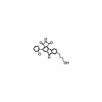 O=C1NC(=O)c2c1c(-c1ccccc1Cl)cc1[nH]c3cc(CCCCO)ccc3c21